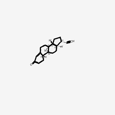 C#C[C@H]1CC[C@H]2[C@@H]3CCC4=CC(=O)CC[C@@H]4[C@H]3CC[C@@H]21